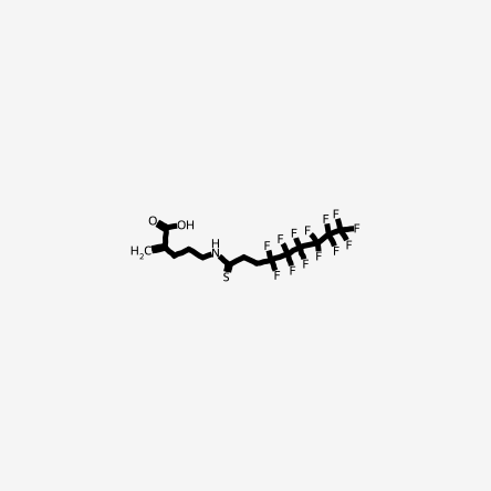 C=C(CCCNC(=S)CCC(F)(F)C(F)(F)C(F)(F)C(F)(F)C(F)(F)C(F)(F)F)C(=O)O